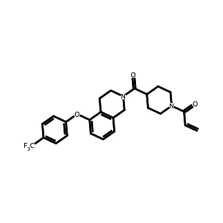 C=CC(=O)N1CCC(C(=O)N2CCc3c(cccc3Oc3ccc(C(F)(F)F)cc3)C2)CC1